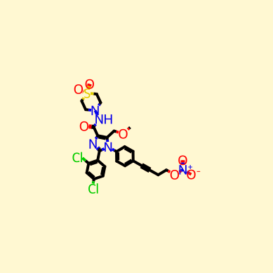 COCc1c(C(=O)NN2CCS(=O)(=O)CC2)nc(-c2ccc(Cl)cc2Cl)n1-c1ccc(C#CCCO[N+](=O)[O-])cc1